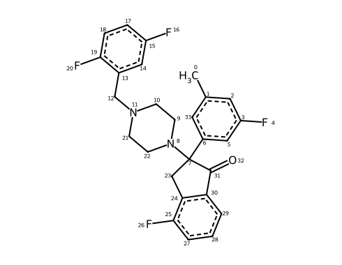 Cc1cc(F)cc(C2(N3CCN(Cc4cc(F)ccc4F)CC3)Cc3c(F)cccc3C2=O)c1